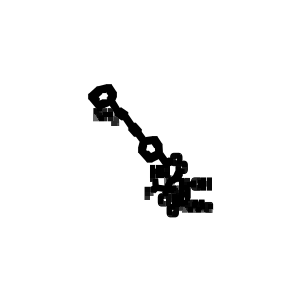 CNC(=O)NC(C)(C(F)F)[C@H](NC(=O)c1ccc(C#CC#Cc2ccccc2N)cc1)C(=O)NO